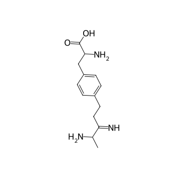 CC(N)C(=N)CCc1ccc(CC(N)C(=O)O)cc1